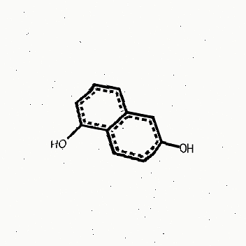 Oc1ccc2c(O)cccc2c1